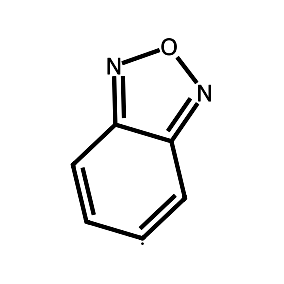 [c]1ccc2nonc2c1